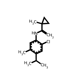 C=C(Nc1cc(C)c(C(C)C)cc1Cl)C1(C)CC1